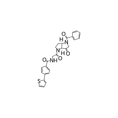 O=C(NCC(=O)N1CC[C@@H]2[C@H]1C(=O)CN2C(=O)c1ccccc1)c1ccc(-c2cccs2)cc1